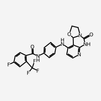 O=C(Nc1ccc(Nc2ccnc3c2C2OCCN2C(=O)N3)cc1)c1ccc(F)cc1C(F)(F)F